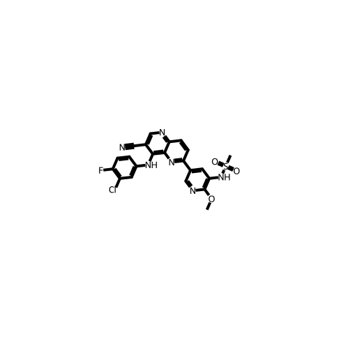 COc1ncc(-c2ccc3ncc(C#N)c(Nc4ccc(F)c(Cl)c4)c3n2)cc1NS(C)(=O)=O